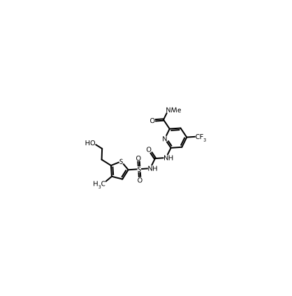 CNC(=O)c1cc(C(F)(F)F)cc(NC(=O)NS(=O)(=O)c2cc(C)c(CCO)s2)n1